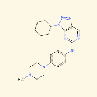 CN1CCN(c2ccc(Nc3ncc4nnn(C5CCCCC5)c4n3)cc2)CC1